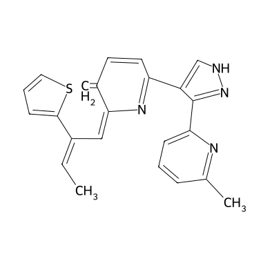 C=c1ccc(-c2c[nH]nc2-c2cccc(C)n2)n/c1=C/C(=C\C)c1cccs1